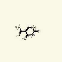 NC(=O)c1c[nH]c(=S)[nH]c1=O